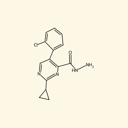 NNC(=O)c1nc(C2CC2)ncc1-c1ccccc1Cl